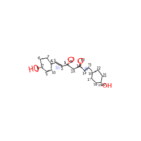 O=C(/C=C/C1CCC(O)CC1)CC(=O)/C=C/C1CCC(O)CC1